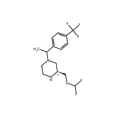 CC(c1ccc(C(F)(F)F)cc1)N1CCN[C@H](COC(F)F)C1